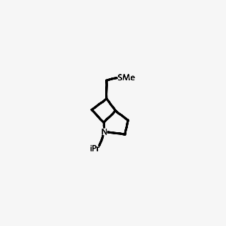 CSCC1CC2C1CCN2C(C)C